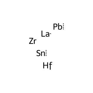 [Hf].[La].[Pb].[Sn].[Zr]